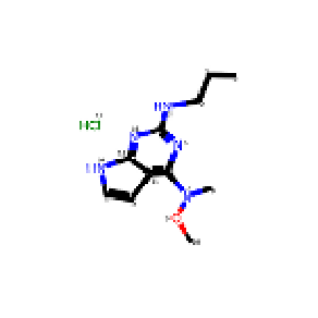 CCCNc1nc(N(C)OC)c2cc[nH]c2n1.Cl